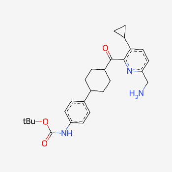 CC(C)(C)OC(=O)Nc1ccc(C2CCC(C(=O)c3nc(CN)ccc3C3CC3)CC2)cc1